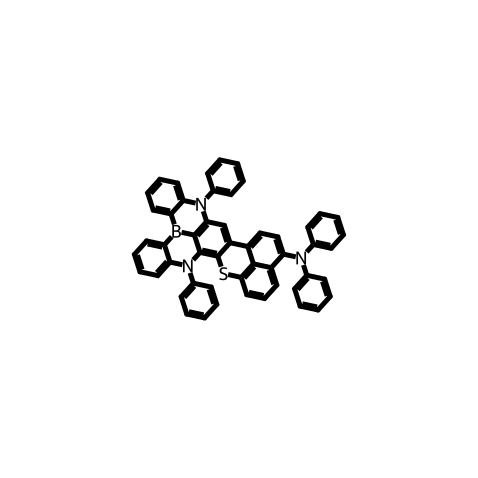 c1ccc(N2c3ccccc3B3c4ccccc4N(c4ccccc4)c4c5c(cc2c43)-c2ccc(N(c3ccccc3)c3ccccc3)c3cccc(c23)S5)cc1